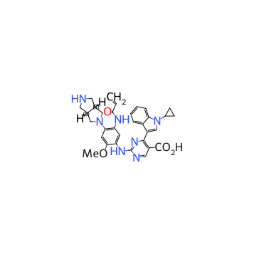 C=CC(=O)Nc1cc(Nc2ncc(C(=O)O)c(-c3cn(C4CC4)c4ccccc34)n2)c(OC)cc1N1C[C@H]2CNC[C@H]2C1